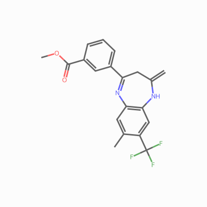 C=C1CC(c2cccc(C(=O)OC)c2)=Nc2cc(C)c(C(F)(F)F)cc2N1